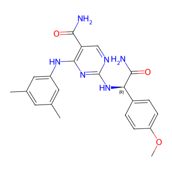 COc1ccc([C@@H](Nc2ncc(C(N)=O)c(Nc3cc(C)cc(C)c3)n2)C(N)=O)cc1